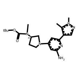 Cc1c(-c2cc(N3CC[C@@H](N(C)C(=O)OC(C)(C)C)C3)cc(N)n2)cnn1C